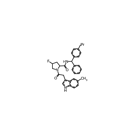 Cc1ccc2[nH]cc(CC(=O)N3CC(F)CC3C(=O)NC(c3ccccc3)c3ccc(C(C)C)cc3)c2c1